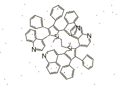 C[Si]1(CC[Si]2(C)C(c3ccnc4ccccc34)=C(c3ccccc3)C(c3ccccc3)=C2c2ccnc3ccccc23)C(c2ccnc3ccccc23)=C(c2ccccc2)C(c2ccccc2)=C1c1ccnc2ccccc12